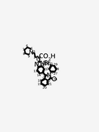 O=C(O)N(CCN1CCCCC1)c1nc2ccc(C3c4ccccc4C(=O)N3c3cccc(Br)c3)cc2[nH]1